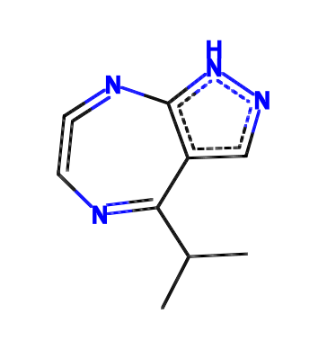 CC(C)C1=NC=C=Nc2[nH]ncc21